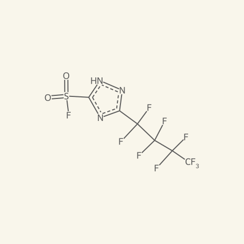 O=S(=O)(F)c1nc(C(F)(F)C(F)(F)C(F)(F)C(F)(F)F)n[nH]1